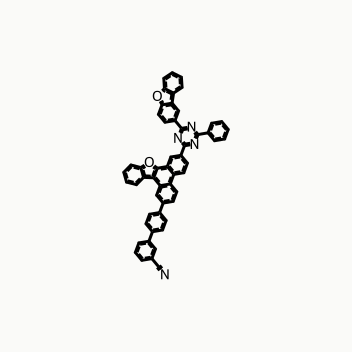 N#Cc1cccc(-c2ccc(-c3ccc4c5ccc(-c6nc(-c7ccccc7)nc(-c7ccc8oc9ccccc9c8c7)n6)cc5c5oc6ccccc6c5c4c3)cc2)c1